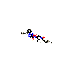 C/C=C\C=C(/C)C(=O)N1CCC(O)(Cn2cnc3c(cnn3-c3ccccc3OC)c2=O)CC1